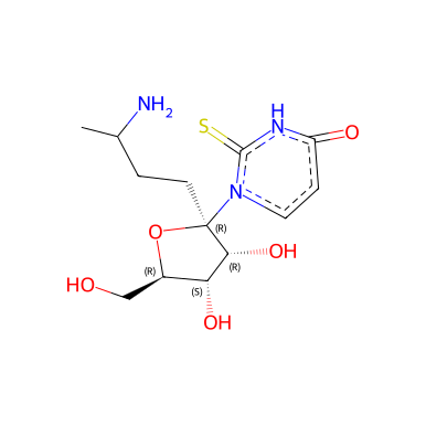 CC(N)CC[C@@]1(n2ccc(=O)[nH]c2=S)O[C@H](CO)[C@@H](O)[C@H]1O